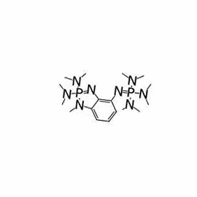 CN(C)P(=Nc1cccc2c1N=P(N(C)C)(N(C)C)N2C)(N(C)C)N(C)C